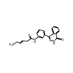 NC/C=C/CC(=O)Nc1cccc(-c2n[nH]c(=O)c3ccccc23)c1